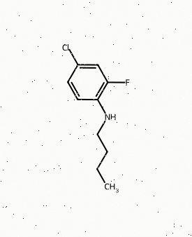 CCCCNc1ccc(Cl)cc1F